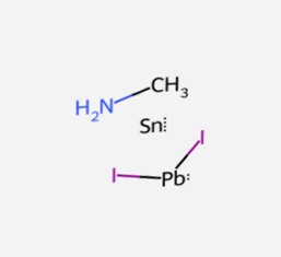 CN.[I][Pb][I].[Sn]